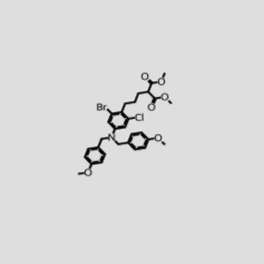 COC(=O)C(CCCc1c(Cl)cc(N(Cc2ccc(OC)cc2)Cc2ccc(OC)cc2)cc1Br)C(=O)OC